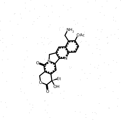 CC[C@@]1(O)C(=O)OCc2c1cc1n(c2=O)Cc2cc3c(CN)c(OC(C)=O)ccc3nc2-1